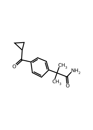 CC(C)(C(N)=O)c1ccc(C(=O)C2CC2)cc1